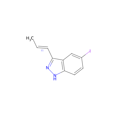 C/C=C/c1n[nH]c2ccc(I)cc12